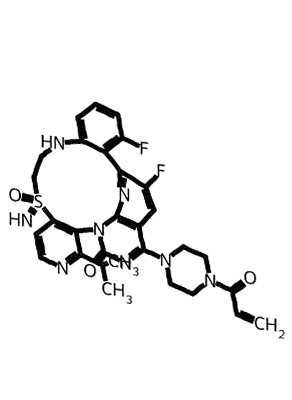 C=CC(=O)N1CCN(c2nc(=O)n3c4nc(c(F)cc24)-c2c(F)cccc2NCCS(=N)(=O)c2ccnc(C(C)C)c2-3)CC1